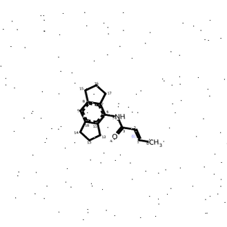 C/C=C/C(=O)Nc1c2c(cc3c1CCC3)CCC2